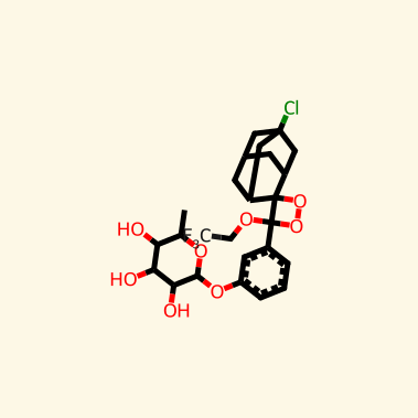 CC1OC(Oc2cccc(C3(OCC(F)(F)F)OOC34C3CC5CC4CC(Cl)(C5)C3)c2)C(O)C(O)C1O